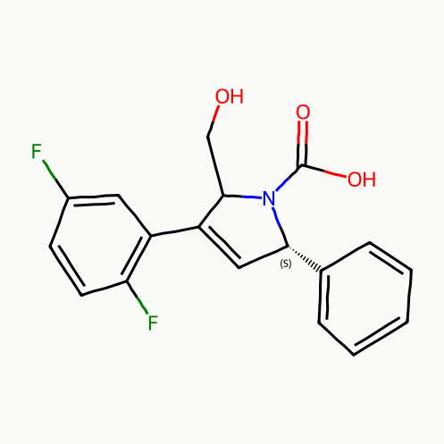 O=C(O)N1C(CO)C(c2cc(F)ccc2F)=C[C@H]1c1ccccc1